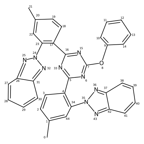 Cc1ccc(-c2nc(Oc3ccccc3)nc(-c3ccc(C)cc3-n3nc4ccccc4n3)n2)c(-n2nc3ccccc3n2)c1